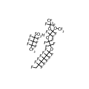 FCC(F)(F)C(F)(F)C(F)(F)C(F)(F)C(F)(F)OC(F)(F)C(F)(F)OC(F)(F)C(F)(OC(F)(F)F)OC(F)(F)C(F)(F)F.O=S(=O)(O)C(F)(F)C(F)(F)C(F)(F)C(F)(F)F